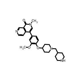 COc1cc(-c2cn(C)c(=O)c3cnccc23)ccc1OC1CCN(CC2CCNCC2)CC1